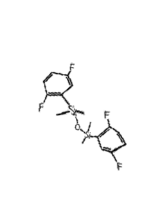 C[Si](C)(O[Si](C)(C)c1cc(F)ccc1F)c1cc(F)ccc1F